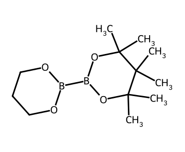 CC1(C)OB(B2OCCCO2)OC(C)(C)C1(C)C